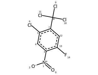 O=[N+]([O-])c1cc(Cl)c(C(Cl)(Cl)Cl)cc1F